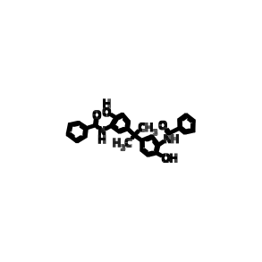 CC(C)(c1ccc(O)c(NC(=O)c2ccccc2)c1)c1ccc(O)c(NC(=O)c2ccccc2)c1